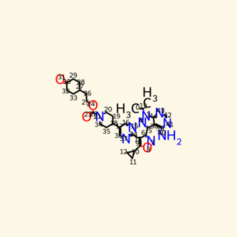 CC(C)n1nc(-c2noc(C3CC3)c2-c2ncc(C3CCN(C(=O)OCCC4CCC(=O)CC4)CC3)cn2)c2c(N)ncnc21